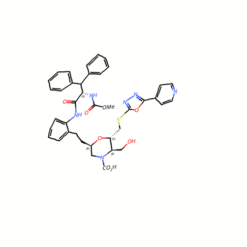 COC(=O)N[C@H](C(=O)Nc1ccccc1CC[C@@H]1CN(C(=O)O)[C@H](CO)[C@@H](CSc2nnc(-c3ccncc3)o2)O1)C(c1ccccc1)c1ccccc1